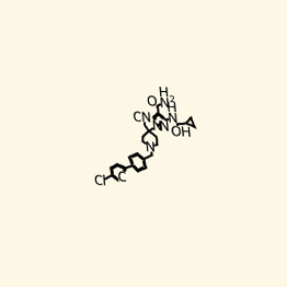 N#CCC1(n2cc(C(N)=O)c(NC(O)C3CC3)n2)CCN(Cc2ccc(-c3ccc(Cl)cc3)cc2)CC1